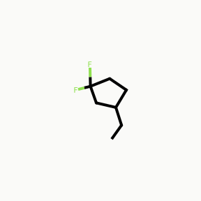 CCC1CCC(F)(F)C1